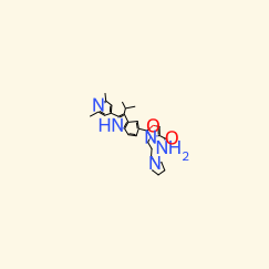 Cc1cc(-c2[nH]c3ccc(C4OC=C(C(N)=O)N4CCCN4CCCC4)cc3c2C(C)C)cc(C)n1